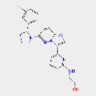 OCCNc1cccc(-c2cnc3ccc(N4CCCC4c4cccc(F)c4)nn23)n1